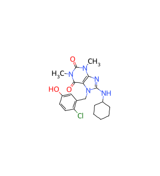 Cn1c(=O)c2c(nc(NC3CCCCC3)n2Cc2cc(O)ccc2Cl)n(C)c1=O